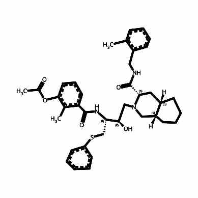 CC(=O)Oc1cccc(C(=O)N[C@@H](CSc2ccccc2)[C@H](O)CN2C[C@H]3CCCC[C@H]3C[C@H]2C(=O)NCc2ccccc2C)c1C